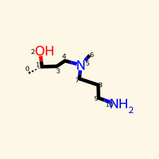 C[C@H](O)CCN(C)CCCN